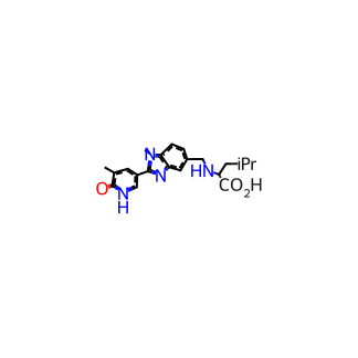 Cc1cc(-c2nc3cc(CNC(CC(C)C)C(=O)O)ccc3n2C)c[nH]c1=O